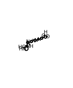 O=C1CCC(c2ccc(N3CC(N4CCN(c5ccc(-c6nccc(-c7cc8c([nH]7)CCCCCNC8O)n6)cc5)CC4)C3)cc2)C(=O)N1